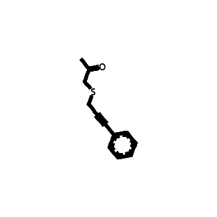 CC(=O)CSCC#Cc1ccccc1